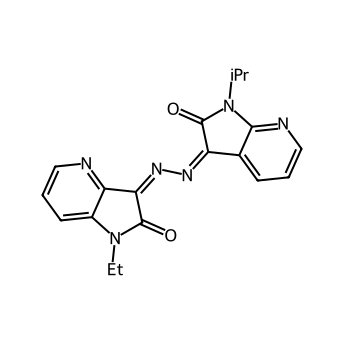 CCN1C(=O)/C(=N\N=C2/C(=O)N(C(C)C)c3ncccc32)c2ncccc21